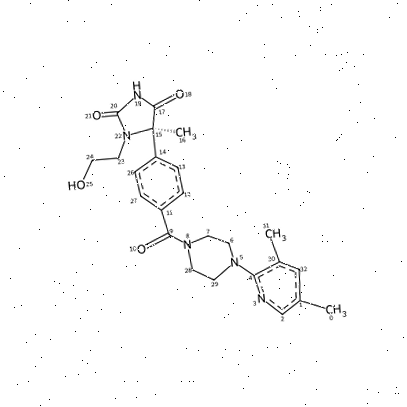 Cc1cnc(N2CCN(C(=O)c3ccc([C@]4(C)C(=O)NC(=O)N4CCO)cc3)CC2)c(C)c1